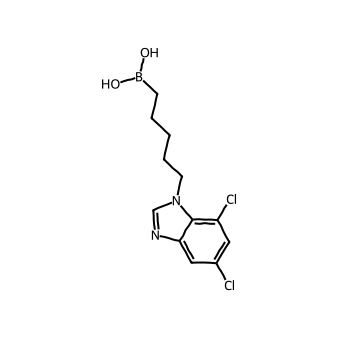 OB(O)CCCCCn1cnc2cc(Cl)cc(Cl)c21